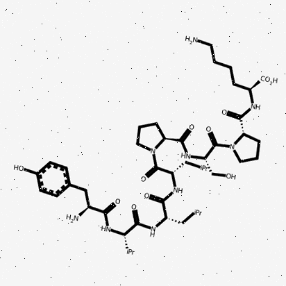 CC(C)C[C@H](NC(=O)[C@@H](NC(=O)[C@@H](N)Cc1ccc(O)cc1)C(C)C)C(=O)N[C@@H](CC(C)C)C(=O)N1CCC[C@H]1C(=O)N[C@@H](CO)C(=O)N1CCC[C@H]1C(=O)N[C@@H](CCCCN)C(=O)O